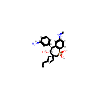 CCCC[C@]1(CC)CS(=O)(=O)c2ccc(NC)cc2[C@@H](c2cccc(N)c2)[C@H]1O